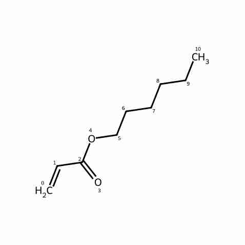 C=CC(=O)OCCCCCC